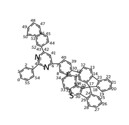 c1ccc(-c2nc(-c3ccc(-c4ccc5c(c4)C4(c6ccccc6-5)c5ccccc5-c5sc6ccccc6c54)cc3)cc(-c3ccc4ccccc4c3)n2)cc1